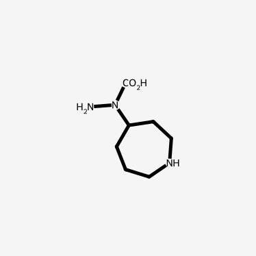 NN(C(=O)O)C1CCCNCC1